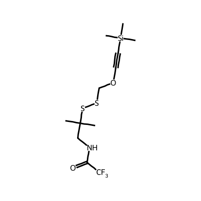 CC(C)(CNC(=O)C(F)(F)F)SSCOC#C[Si](C)(C)C